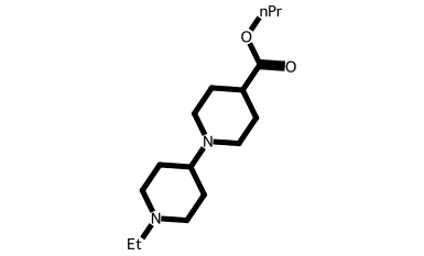 CCCOC(=O)C1CCN(C2CCN(CC)CC2)CC1